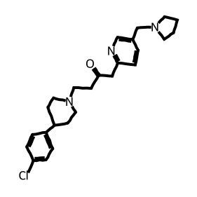 O=C(CCN1CCC(c2ccc(Cl)cc2)CC1)Cc1ccc(CN2CCCC2)cn1